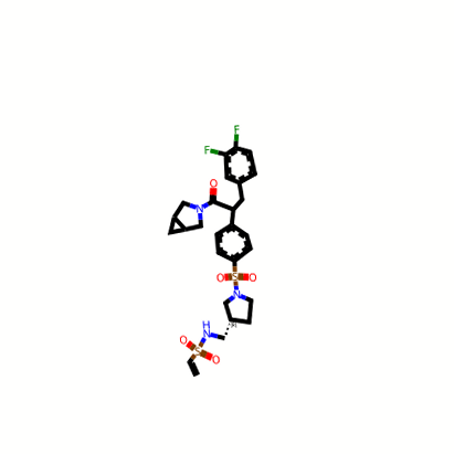 C=CS(=O)(=O)NC[C@H]1CCN(S(=O)(=O)c2ccc(C(Cc3ccc(F)c(F)c3)C(=O)N3CC4CC4C3)cc2)C1